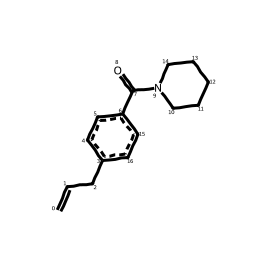 C=CCc1ccc(C(=O)N2CCCCC2)cc1